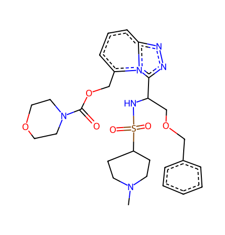 CN1CCC(S(=O)(=O)NC(COCc2ccccc2)c2nnc3cccc(COC(=O)N4CCOCC4)n23)CC1